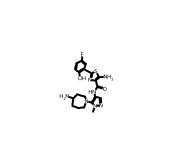 Cn1ncc(NC(=O)c2nc(-c3cc(F)ccc3O)sc2N)c1N1CCCC(N)CC1